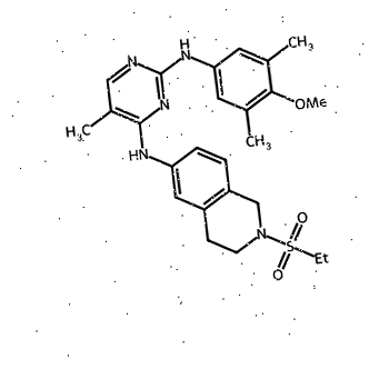 CCS(=O)(=O)N1CCc2cc(Nc3nc(Nc4cc(C)c(OC)c(C)c4)ncc3C)ccc2C1